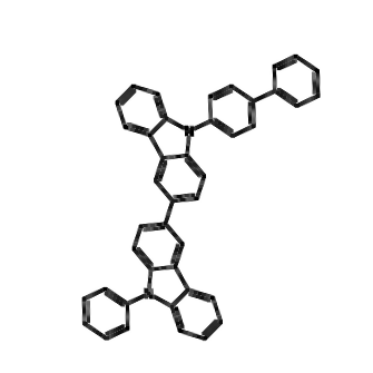 c1ccc(-c2ccc(-n3c4ccccc4c4cc(-c5ccc6c(c5)c5ccccc5n6-c5ccccc5)ccc43)cc2)cc1